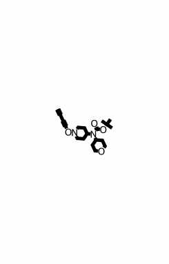 C#CC#CON1CCC(N(C(=O)OC(C)(C)C)C2CCOCC2)CC1